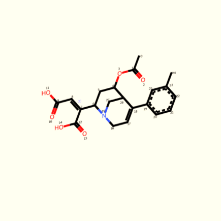 CC(=O)OC1CC(/C(=C/C(=O)O)C(=O)O)N2CC=C(c3cccc(C)c3)C1C2